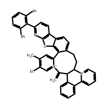 C=C1C2c3ccccc3-c3cccc[n+]3C2CCc2ccc3c(oc4nc(-c5c(C(C)C)cccc5C(C)C)ccc43)c2-c2cc(C)c(CC)c[n+]21